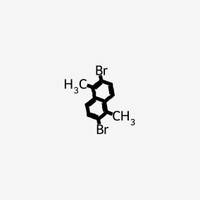 Cc1c(Br)ccc2c(C)c(Br)ccc12